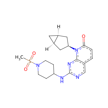 CS(=O)(=O)N1CCC(Nc2ncc3ccc(=O)n([C@H]4C[C@H]5C[C@H]5C4)c3n2)CC1